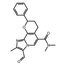 Cc1nc2c3c(c(C(=O)N(C)C)cn2c1C=O)CCC(c1ccccc1)O3